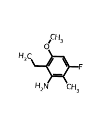 CCc1c(OC)cc(F)c(C)c1N